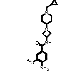 COc1cc(C(=O)NC2CN(C3CCN(CC4CC4)CC3)C2)ccc1N